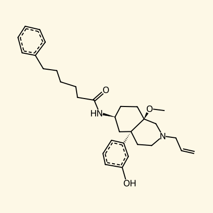 C=CCN1CC[C@@]2(c3cccc(O)c3)C[C@@H](NC(=O)CCCCCc3ccccc3)CC[C@]2(OC)C1